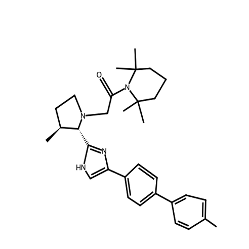 Cc1ccc(-c2ccc(-c3c[nH]c([C@@H]4[C@@H](C)CCN4CC(=O)N4C(C)(C)CCCC4(C)C)n3)cc2)cc1